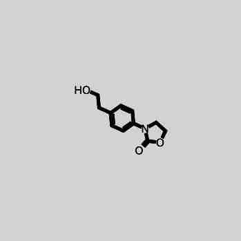 O=C1OCCN1c1ccc(CCO)cc1